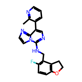 Cc1ncccc1-c1cnc(NCc2c(F)ccc3c2CCO3)n2ccnc12